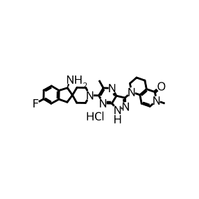 Cc1nc2c(N3CCCc4c3ccn(C)c4=O)n[nH]c2nc1N1CCC2(CC1)Cc1cc(F)ccc1[C@H]2N.Cl